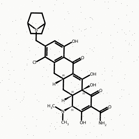 CN(C)[C@@H]1C(O)=C(C(N)=O)C(=O)[C@@]2(O)C(O)=C3C(=O)c4c(O)cc(CN5C6CCC5CC6)c(Cl)c4C[C@H]3C[C@@H]12